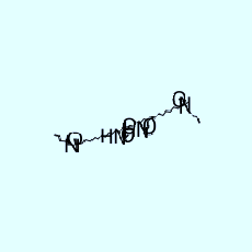 C=CCCCN(C)C(=O)CCCCCCCCCCC(CCOCC[C@@H](CCCCCCCCCCC(=O)N(C)CCCC=C)NC(C)=O)NC(C)=O